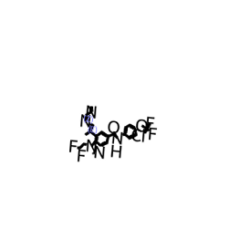 C=N/C=N\C=C(/C)c1cc(C(=O)Nc2ccc(OC(F)(F)Cl)cc2)cc2ncn(CC(F)F)c12